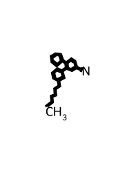 CCCCCCCc1cccc(-c2cc(C#N)ccc2-c2ccccc2)c1